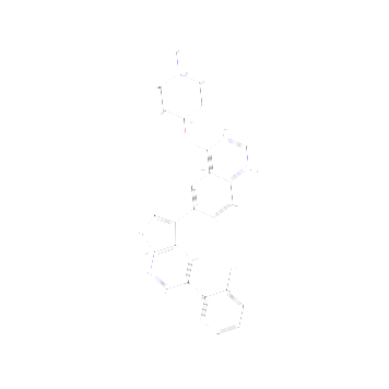 Cc1ccccc1-c1cnc2[nH]cc(-c3ccc4ncnc(OC5CCN(C)CC5)c4c3)c2c1